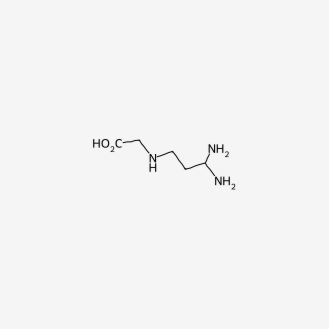 NC(N)CCNCC(=O)O